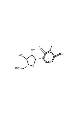 Cn1c(=N)ccn([C@@H]2O[C@H](CO)C(O)[C@@H]2O)c1=O